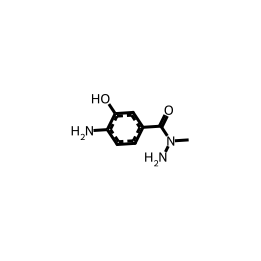 CN(N)C(=O)c1ccc(N)c(O)c1